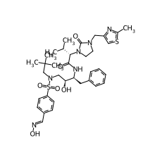 Cc1nc(CN2CCN([C@H](C(=O)N[C@@H](Cc3ccccc3)[C@@H](O)CN(CC(C)(C)C)S(=O)(=O)c3ccc(C=NO)cc3)C(C)C)C2=O)cs1